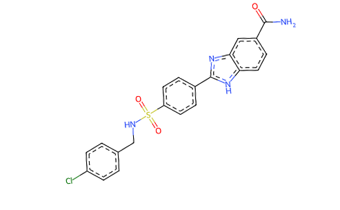 NC(=O)c1ccc2[nH]c(-c3ccc(S(=O)(=O)NCc4ccc(Cl)cc4)cc3)nc2c1